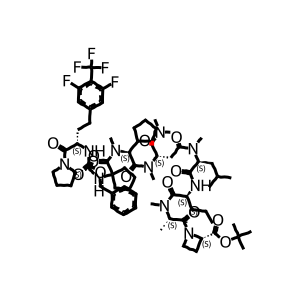 CC[C@H](C)[C@H](NC(=O)[C@H](CC(C)C)N(C)C(=O)C[C@@H](C(=O)N(C)C)N(C)C(=O)[C@H](C1CCCC1)N(C)C(=O)C1(NC(=O)[C@@H]2CCCN2C(=O)[C@H](CCc2cc(F)c(C(F)(F)F)c(F)c2)NC(=O)OCc2ccccc2)CCCC1)C(=O)N(C)[C@@H](C)C(=O)N1CC[C@H]1C(=O)OC(C)(C)C